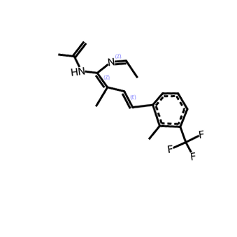 C=C(C)NC(/N=C\C)=C(C)/C=C/c1cccc(C(F)(F)F)c1C